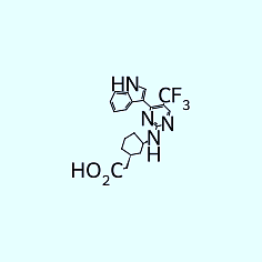 O=C(O)C[C@H]1CCC[C@@H](Nc2ncc(C(F)(F)F)c(-c3c[nH]c4ccccc34)n2)C1